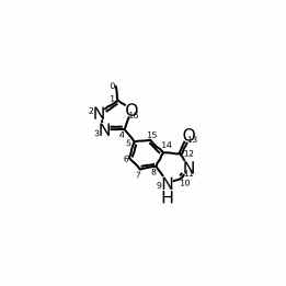 Cc1nnc(-c2ccc3[nH]cnc(=O)c3c2)o1